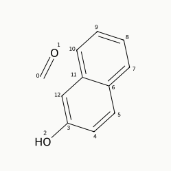 C=O.Oc1ccc2ccccc2c1